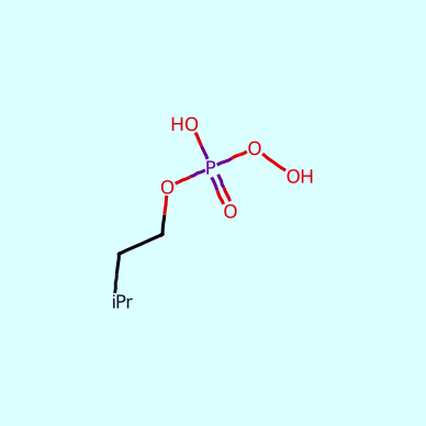 CC(C)CCOP(=O)(O)OO